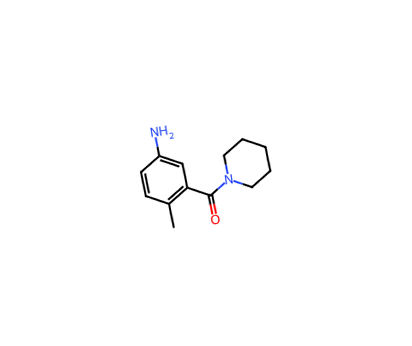 Cc1ccc(N)cc1C(=O)N1CCCCC1